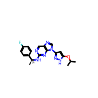 CC(C)Oc1cc(-n2cnc3cnc(N[C@@H](C)c4ccc(F)cc4)nc32)n[nH]1